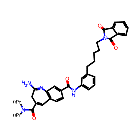 CCCN(CCC)C(=O)C1=Cc2ccc(C(=O)Nc3cccc(CCCCCN4C(=O)c5ccccc5C4=O)c3)cc2N=C(N)C1